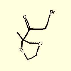 CC1(C(=O)CBr)OCCO1